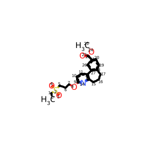 CCS(=O)(=O)CCCOc1ccc2c(n1)CCCc1ccc(C(=O)OC)cc1-2